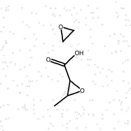 C1CO1.CC1OC1C(=O)O